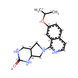 CC(C)Oc1ccc2ccnc(N3CC4CNC(=O)NC4C3)c2c1